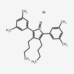 CCCCC1=C(c2cc(C)cc(C)c2)[N+](=[N-])C(c2cc(C)cc(C)c2)=C1CCCC.[Ni]